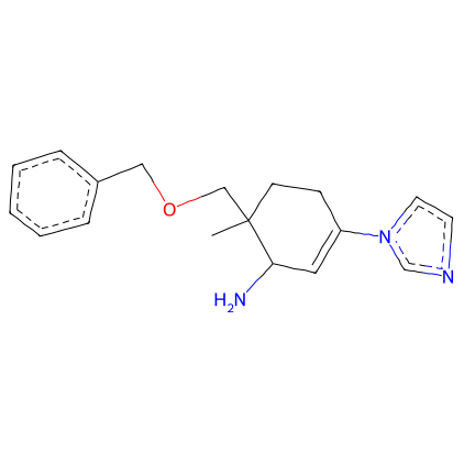 CC1(COCc2ccccc2)CCC(n2ccnc2)=CC1N